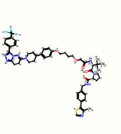 Cc1ncsc1-c1ccc(CNC(=O)[C@@H]2CCCN2C(=O)[C@@H](NC(=O)COCCCCOc2ccc(C3CCN(C4=Nn5c(nnc5-c5ccc(C(F)(F)F)cc5)CC4)CC3)cc2)C(C)(C)C)cc1